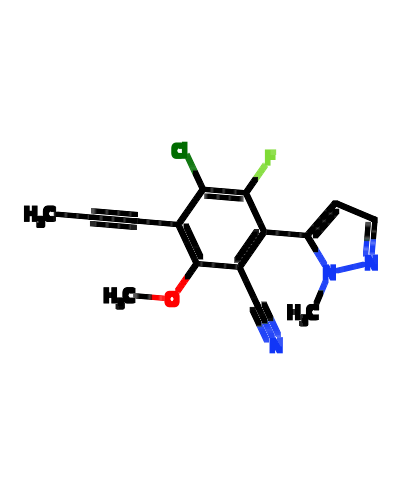 CC#Cc1c(Cl)c(F)c(-c2ccnn2C)c(C#N)c1OC